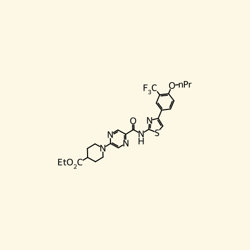 CCCOc1ccc(-c2csc(NC(=O)c3cnc(N4CCC(C(=O)OCC)CC4)cn3)n2)cc1C(F)(F)F